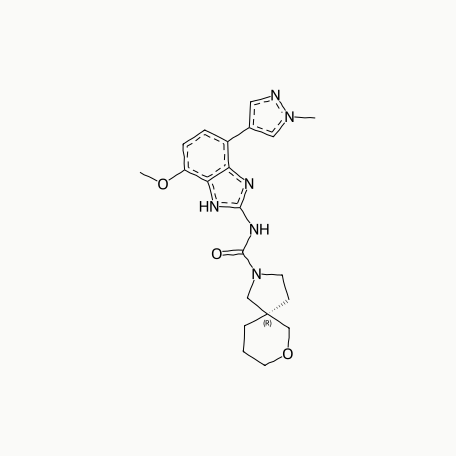 COc1ccc(-c2cnn(C)c2)c2nc(NC(=O)N3CC[C@]4(CCCOC4)C3)[nH]c12